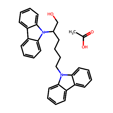 CC(=O)O.OCC(CCCCn1c2ccccc2c2ccccc21)n1c2ccccc2c2ccccc21